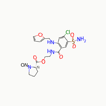 NS(=O)(=O)c1cc(C(=O)NCCOC(=O)[C@@H]2CCCN2[15N]=O)c(NCc2ccco2)cc1Cl